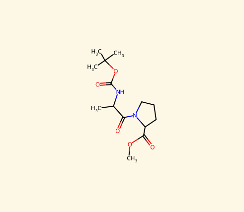 COC(=O)C1CCCN1C(=O)C(C)NC(=O)OC(C)(C)C